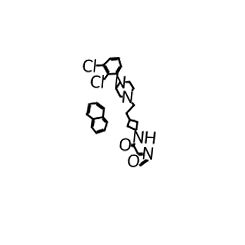 O=C(NC1CC(CCN2CCN(c3cccc(Cl)c3Cl)CC2)C1)c1ncco1.c1ccc2ccccc2c1